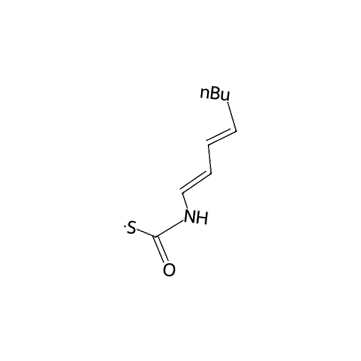 CCCCC=CC=CNC(=O)[S]